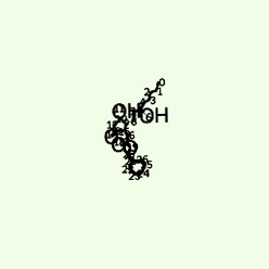 CCCCC[C@H](O)C=C[C@H]1[C@H](O)CC(=O)[C@@H]1CC(=O)OCc1ccccc1